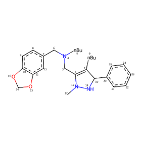 CCCCC1=C(CN(CCCC)Cc2ccc3c(c2)OCO3)N(C)NC1c1ccccc1